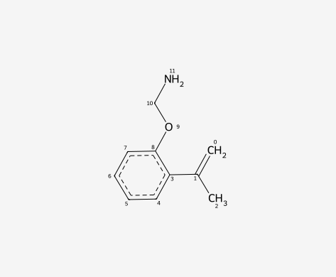 C=C(C)c1ccccc1OCN